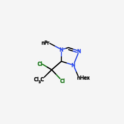 CCCCCCN1N=CN(CCC)C1C(Cl)(Cl)C(Cl)(Cl)Cl